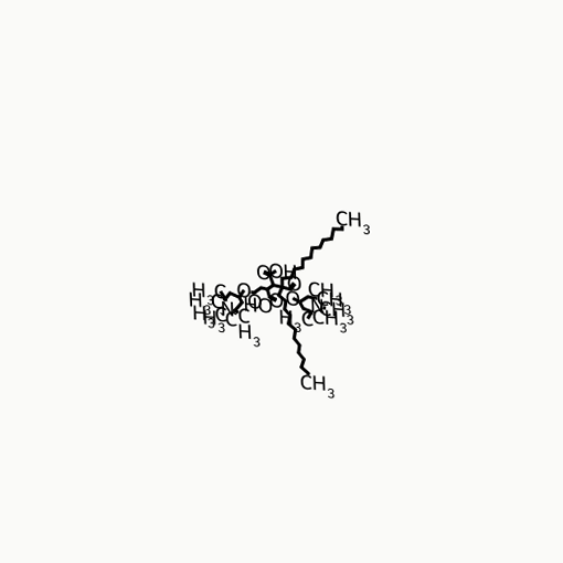 CCCCCCCCCCCCCC(CCCCCCCCCCCCC)(C(=O)OC1CC(C)(C)N(C)C(C)(C)C1)C(C(=O)O)C(CC(=O)OC1CC(C)(C)N(C)C(C)(C)C1)C(=O)O